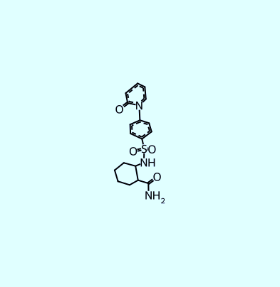 NC(=O)C1CCCCC1NS(=O)(=O)c1ccc(-n2ccccc2=O)cc1